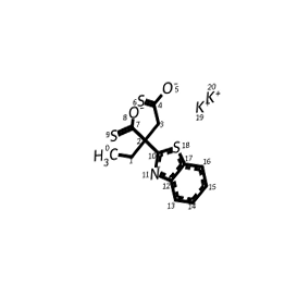 CCC(CC([O-])=S)(C([O-])=S)c1nc2ccccc2s1.[K+].[K+]